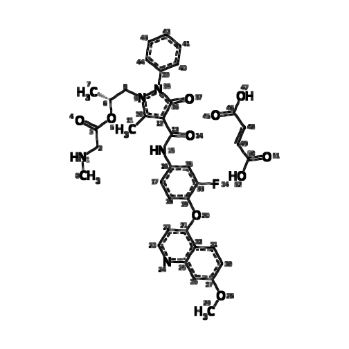 CNCC(=O)O[C@H](C)Cn1c(C)c(C(=O)Nc2ccc(Oc3ccnc4cc(OC)ccc34)c(F)c2)c(=O)n1-c1ccccc1.O=C(O)/C=C/C(=O)O